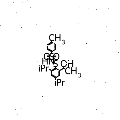 Cc1ccc(S(=O)(=O)NSc2c(C(C)C)cc(C(C)C)cc2C(C)O)cc1